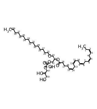 CC/C=C\C/C=C\C/C=C\C/C=C\C/C=C\CCCC(=O)O[C@H](COCCCCCCCCCCCCCCCC)COP(=O)(O)OC[C@@H](O)CO